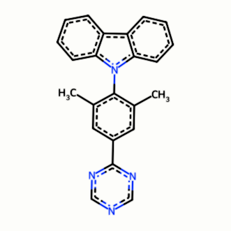 Cc1cc(-c2ncncn2)cc(C)c1-n1c2ccccc2c2ccccc21